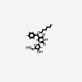 CCCCCCOC(c1ccccc1)c1cn([C@H]2C[C@H](O)[C@@H](CO)O2)c(=O)[nH]c1=O